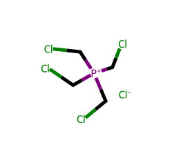 ClC[P+](CCl)(CCl)CCl.[Cl-]